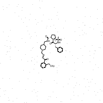 CC(=O)OCc1ccccc1C(=O)N=NCN1CCC(CNC(=O)[C@@H]2CCCN2C(=O)[C@@H](Cc2ccccc2)NS(C)(=O)=O)CC1